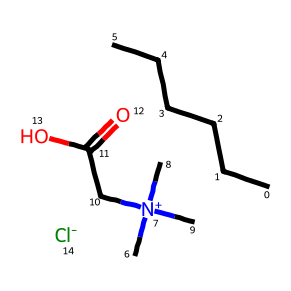 CCCCCC.C[N+](C)(C)CC(=O)O.[Cl-]